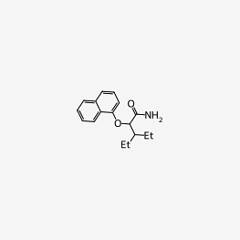 CCC(CC)C(Oc1cccc2ccccc12)C(N)=O